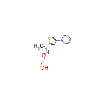 CC(=NOCCO)c1cc(-c2ccccc2)cs1